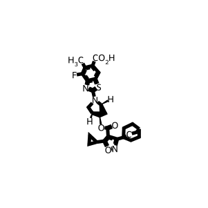 Cc1c(C(=O)O)cc2sc(N3C[C@@H]4C[C@H]3C[C@H]4OC(=O)c3c(C45CCC(CC4)CC5)noc3C3CC3)nc2c1F